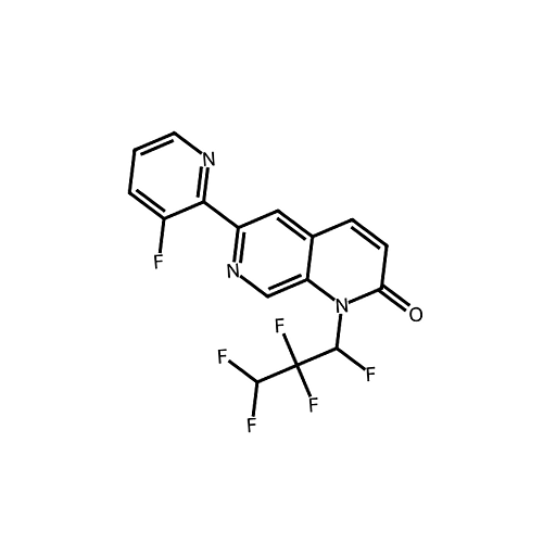 O=c1ccc2cc(-c3ncccc3F)ncc2n1C(F)C(F)(F)C(F)F